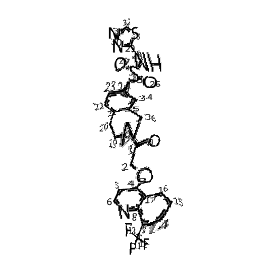 O=C(COc1ccnc2c(C(F)(F)F)cccc12)N1CCc2ccc(S(=O)(=O)Nc3nncs3)cc2C1